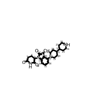 Cn1c(=O)n(C2CCC(=O)NC2=O)c2cccc(N3CCC(C4CCNCC4)CC3)c21